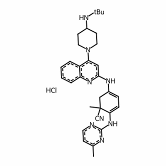 Cc1ccnc(NC2=CC=C(Nc3cc(N4CCC(NC(C)(C)C)CC4)c4ccccc4n3)CC2(C)C#N)n1.Cl